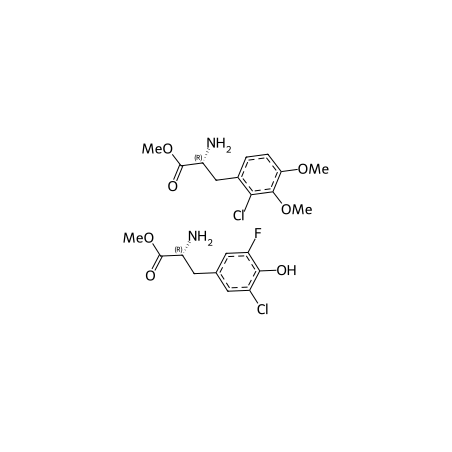 COC(=O)[C@H](N)Cc1cc(F)c(O)c(Cl)c1.COC(=O)[C@H](N)Cc1ccc(OC)c(OC)c1Cl